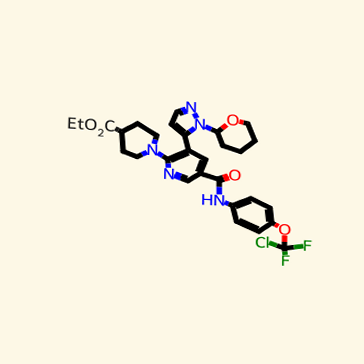 CCOC(=O)C1CCN(c2ncc(C(=O)Nc3ccc(OC(F)(F)Cl)cc3)cc2-c2ccnn2C2CCCCO2)CC1